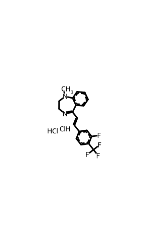 CN1CCN=C(C=Cc2ccc(C(F)(F)F)c(F)c2)c2ccccc21.Cl.Cl